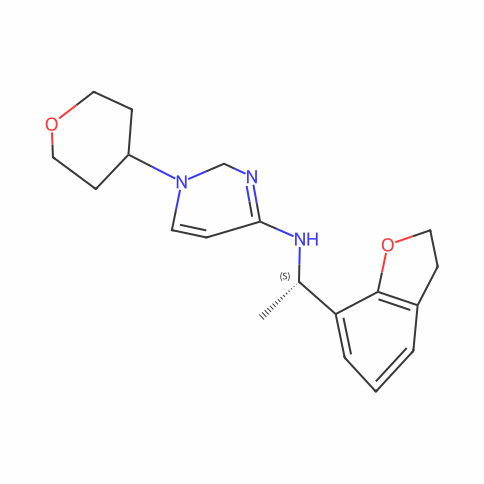 C[C@H](NC1=NCN(C2CCOCC2)C=C1)c1cccc2c1OCC2